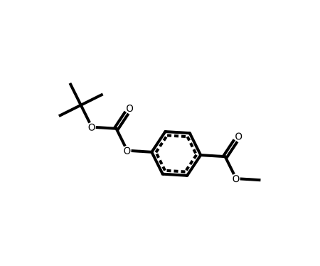 COC(=O)c1ccc(OC(=O)OC(C)(C)C)cc1